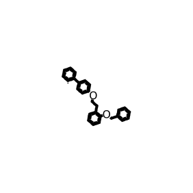 [c]1ccccc1-c1ccc(OCCc2ccccc2OCc2ccccc2)cc1